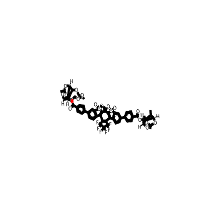 CCC1=C(C2=C(C3=C(CC)S(=O)(=O)c4cc(-c5ccc(C(=O)O[C@H]6C7OC8(C)O[C@H](C7C)C(C)[C@@H]6O8)cc5)ccc43)C(F)(F)C(F)(F)C2(F)F)c2ccc(-c3ccc(C(=O)O[C@@H]4C5OC6(C)O[C@@H](C5OCOC)C(OCOC)[C@H]4O6)cc3)cc2S1(=O)=O